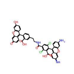 N=c1ccc2c(-c3c(Cl)cc(C(=O)NCCc4ccc(-c5c6ccc(=O)cc-6oc6cc(O)ccc56)c(C(=O)O)c4)c(Cl)c3C(=O)O)c3ccc(N)cc3oc-2c1